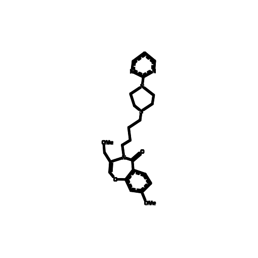 COCC1=COc2cc(OC)ccc2C(=O)N1CCCCN1CCN(c2ncccn2)CC1